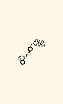 CC1(C(=O)O)OCC(Cc2ccc(OCCN3CCOc4ccccc43)cc2)CO1